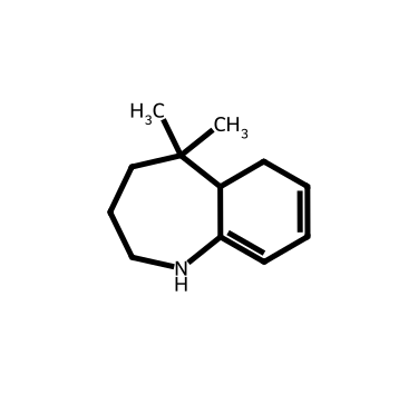 CC1(C)CCCNC2=CC=CCC21